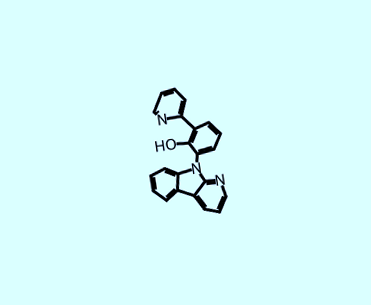 Oc1c(-c2ccccn2)cccc1-n1c2ccccc2c2cccnc21